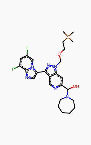 CS(C)(C)CCOCn1nc(-c2cnc3c(F)cc(F)cn23)c2cnc(C(O)N3CCCCCC3)cc21